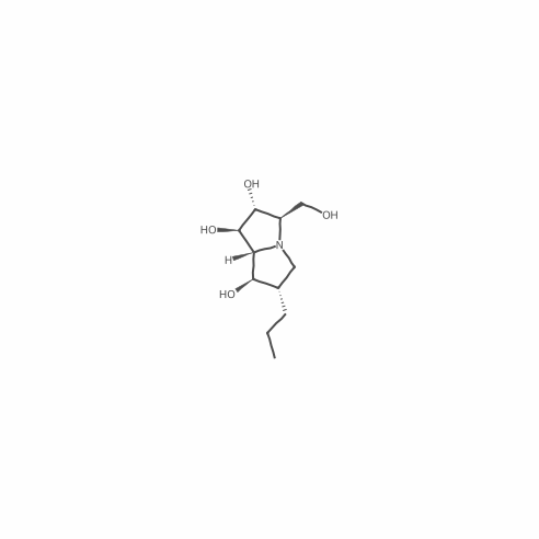 CCC[C@H]1CN2[C@H]([C@@H]1O)[C@@H](O)[C@H](O)[C@H]2CO